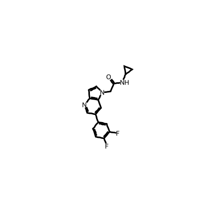 O=C(Cn1ccc2ncc(-c3ccc(F)c(F)c3)cc21)NC1CC1